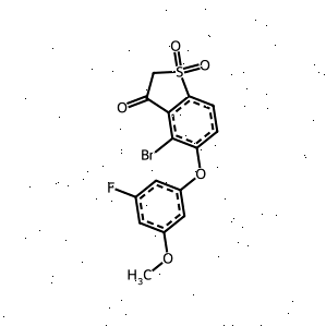 COc1cc(F)cc(Oc2ccc3c(c2Br)C(=O)CS3(=O)=O)c1